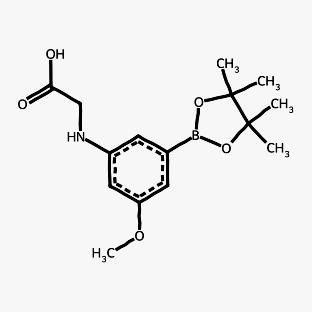 COc1cc(NCC(=O)O)cc(B2OC(C)(C)C(C)(C)O2)c1